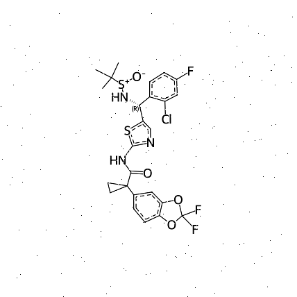 CC(C)(C)[S+]([O-])N[C@@H](c1cnc(NC(=O)C2(c3ccc4c(c3)OC(F)(F)O4)CC2)s1)c1ccc(F)cc1Cl